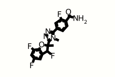 Cn1c(-c2ccc(C(N)=O)c(F)c2)nnc1C1(C)Oc2c(F)cc(F)cc2C1F